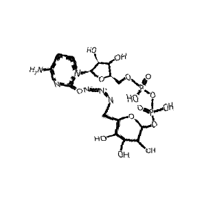 [N-]=[N+]=NCC1OC(OP(=O)(O)OP(=O)(O)OC[C@H]2O[C@@H](n3ccc(N)nc3=O)[C@@H](O)C2O)C(O)C(O)C1O